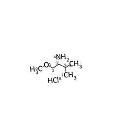 COC[C@H](N)C(C)C.Cl